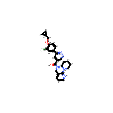 O=C(NCc1cccnc1N1CCCCC1)c1cnnc(-c2ccc(OCC3CC3)c(Cl)c2)c1